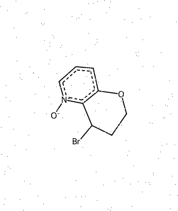 [O-][n+]1cccc2c1C(Br)CCO2